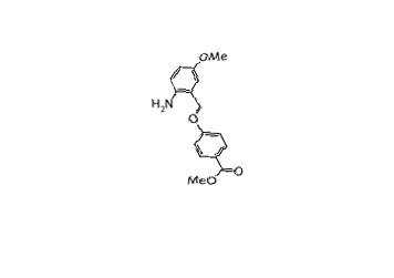 COC(=O)c1ccc(OCc2cc(OC)ccc2N)cc1